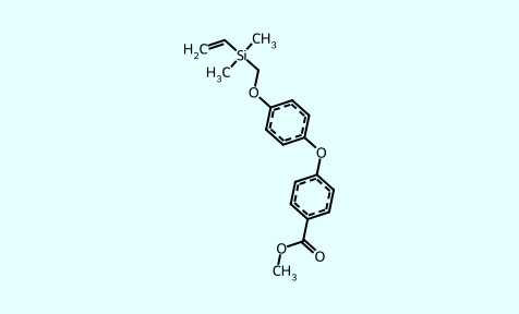 C=C[Si](C)(C)COc1ccc(Oc2ccc(C(=O)OC)cc2)cc1